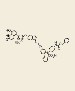 CC(C)(C)[Si](C)(C)O[C@@H](CNCc1ccc2c(ccn2CC/C=C/c2ccc(-c3ccccc3)c(N(C(=O)O)C3CCC(NC(=O)OCc4ccccc4)CC3)c2)c1)c1ccc(O)c2[nH]c(=O)ccc12